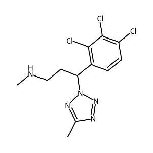 CNCCC(c1ccc(Cl)c(Cl)c1Cl)n1nnc(C)n1